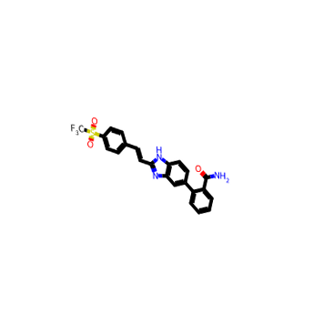 NC(=O)c1ccccc1-c1ccc2[nH]c(C=Cc3ccc(S(=O)(=O)C(F)(F)F)cc3)nc2c1